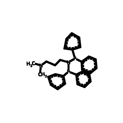 CN(C)CCCN(P(c1ccccc1)c1ccccc1)P(c1ccccc1)c1ccccc1